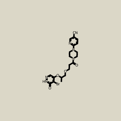 CC(COCCC(=O)N1CCN(c2ccc(C#N)cn2)CC1)Oc1cn[nH]c(=O)c1Br